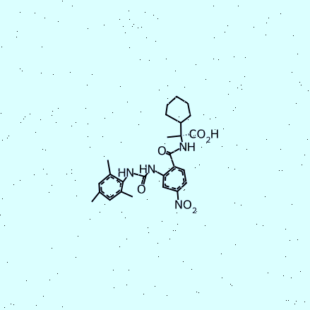 Cc1cc(C)c(NC(=O)Nc2cc([N+](=O)[O-])ccc2C(=O)N[C@](C)(C(=O)O)C2CCCCC2)c(C)c1